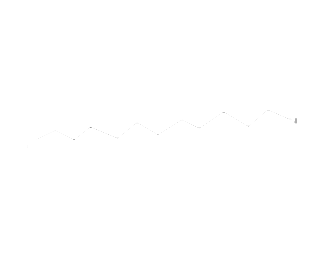 CCCCCCCCC[CH]CCN